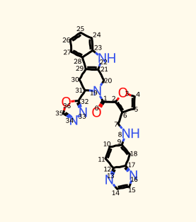 O=C(c1occc1CNc1ccc2nccnc2c1)N1Cc2[nH]c3ccccc3c2CC1c1nnco1